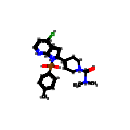 Cc1ccc(S(=O)(=O)n2c(C3=CCN(C(=O)N(C)C)CC3)cc3c(Cl)ccnc32)cc1